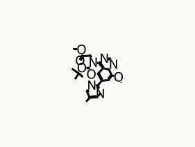 COC(=O)CN(C(=O)OC(C)(C)C)c1ncnc2c(OC)cc(-c3ncc(C)cn3)cc12